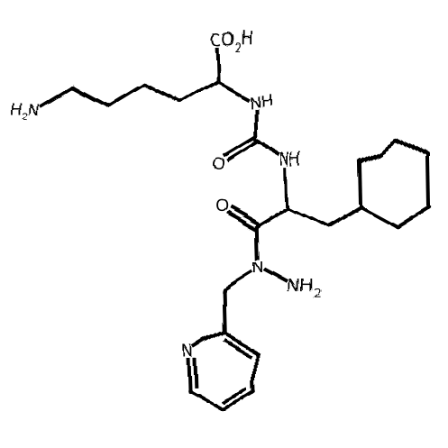 NCCCCC(NC(=O)NC(CC1CCCCC1)C(=O)N(N)Cc1ccccn1)C(=O)O